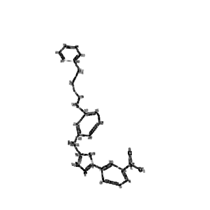 O=[N+]([O-])c1cccc(-c2nnc(Nc3cccc(SCCCc4ccccc4)c3)s2)c1